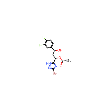 CC(C)(C)C(=O)OC(CC(O)c1ccc(F)c(F)c1)c1nc(Br)n[nH]1